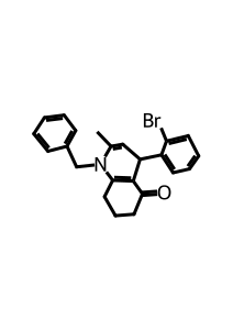 CC1=CC(c2ccccc2Br)C2=C(CCCC2=O)N1Cc1ccccc1